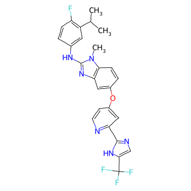 CC(C)c1cc(Nc2nc3cc(Oc4ccnc(-c5ncc(C(F)(F)F)[nH]5)c4)ccc3n2C)ccc1F